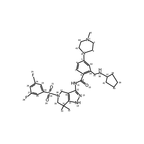 CN1CCN(c2ccc(C(=O)Nc3n[nH]c4c3CN(S(=O)(=O)c3cc(F)cc(F)c3)CC4(C)C)c(CNC3CCCC3)c2)CC1